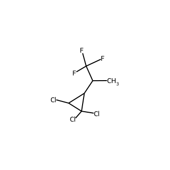 CC(C1C(Cl)C1(Cl)Cl)C(F)(F)F